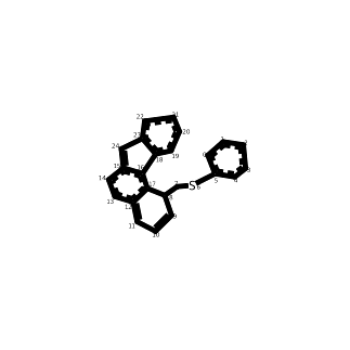 [c]1ccccc1SCC1C=CC=c2ccc3c(c21)-c1ccccc1C=3